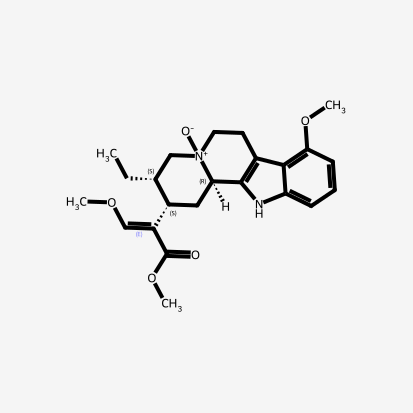 CC[C@@H]1C[N+]2([O-])CCc3c([nH]c4cccc(OC)c34)[C@H]2C[C@@H]1/C(=C\OC)C(=O)OC